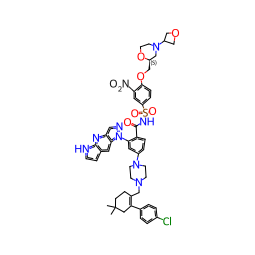 CC1(C)CCC(CN2CCN(c3ccc(C(=O)NS(=O)(=O)c4ccc(OC[C@@H]5CN(C6COC6)CCO5)c([N+](=O)[O-])c4)c(-n4ncc5nc6[nH]ccc6cc54)c3)CC2)=C(c2ccc(Cl)cc2)C1